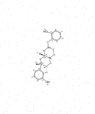 C[C@H]1CN2CCN(Cc3ccccc3O)C[C@H]2C[C@@]1(C)c1cccc(O)c1